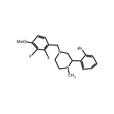 COc1ccc(CN2CCN(C)C(c3ccccc3C(C)C)C2)c(F)c1F